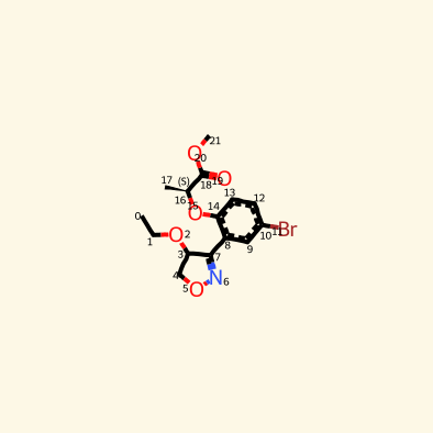 CCOC1CON=C1c1cc(Br)ccc1O[C@@H](C)C(=O)OC